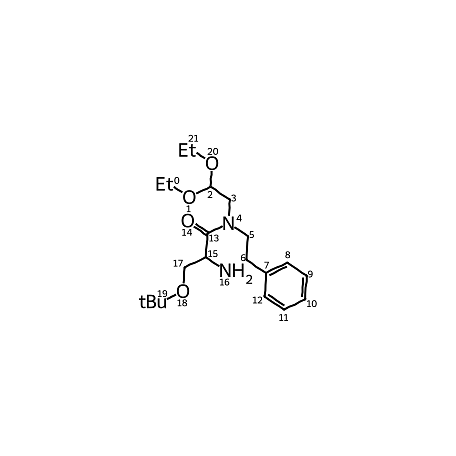 CCOC(CN(CCc1ccccc1)C(=O)C(N)COC(C)(C)C)OCC